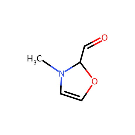 CN1C=COC1C=O